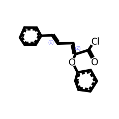 O=C(Cl)/C(=C/C=C/c1ccccc1)Oc1ccccc1